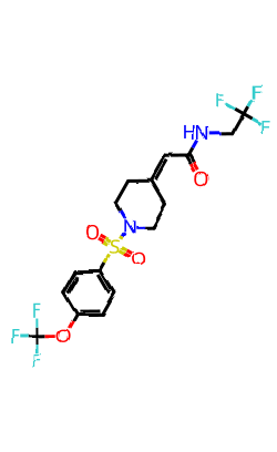 O=C(C=C1CCN(S(=O)(=O)c2ccc(OC(F)(F)F)cc2)CC1)NCC(F)(F)F